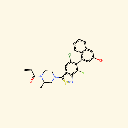 C=CC(=O)N1CCN(c2snc3c(F)c(-c4cc(O)cc5ccccc45)c(Cl)cc23)C[C@H]1C